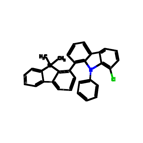 C[Si]1(C)c2ccccc2-c2cccc(-c3cccc4c5cccc(Cl)c5n(-c5ccccc5)c34)c21